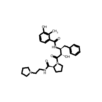 Cc1c(O)cccc1C(=O)N[C@@H](Cc1ccccc1)[C@H](O)C(=O)N1CCC[C@H]1C(=O)NCCN1CCCC1